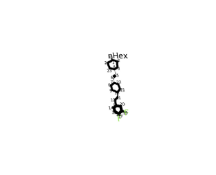 CCCCCC[C@H]1CC[C@H](C=C[C@H]2CC[C@H](CCc3ccc(F)c(F)c3)CC2)CC1